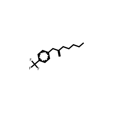 C=C(CCCCC)Cc1ccc(C(F)(F)F)cc1